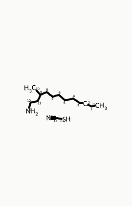 CCCCCCCCCC(C)CCN.N#CS